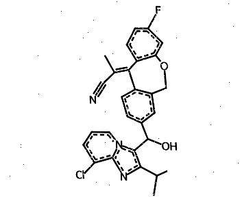 CC(C#N)=C1c2ccc(C(O)c3c(C(C)C)nc4c(Cl)cccn34)cc2COc2cc(F)ccc21